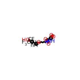 CCCc1cc(C(O)(C(F)(F)F)C(F)(F)F)ccc1-c1cccc(OCCCCCN2C(=O)NC(C)(c3ccc4c(c3)OCO4)C2=O)c1